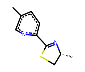 Cc1ccc(C2=N[C@H](C)CS2)nc1